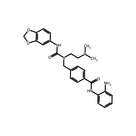 CN(C)CCN(Cc1ccc(C(=O)Nc2ccccc2N)cc1)C(=O)Nc1ccc2c(c1)OCO2